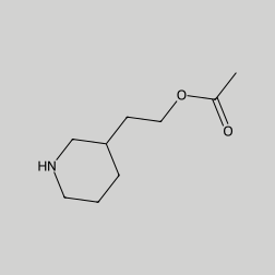 CC(=O)OCCC1CCCNC1